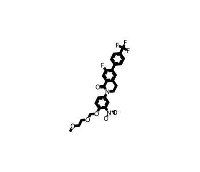 COCCOCOc1ccc(N2CCc3cc(-c4ccc(C(F)(F)F)cc4)c(F)cc3C2=O)cc1[N+](=O)[O-]